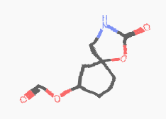 O=COC1CCC2(CNC(=O)O2)C1